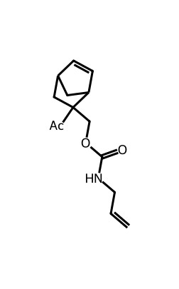 C=CCNC(=O)OCC1(C(C)=O)CC2C=CC1C2